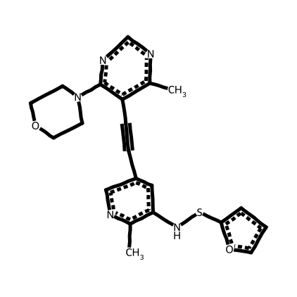 Cc1ncc(C#Cc2c(C)ncnc2N2CCOCC2)cc1NSc1ccco1